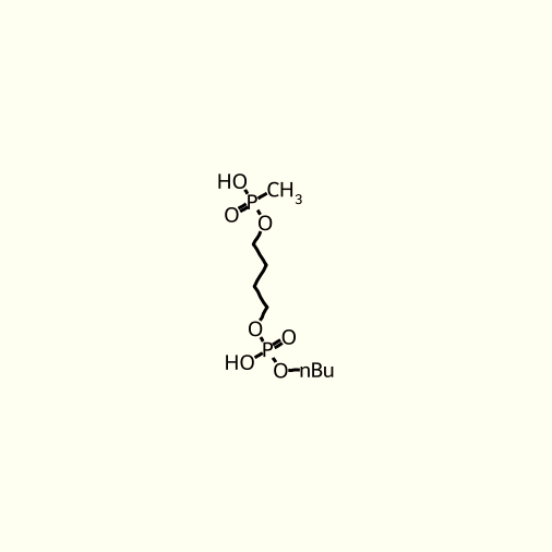 CCCCOP(=O)(O)OCCCCOP(C)(=O)O